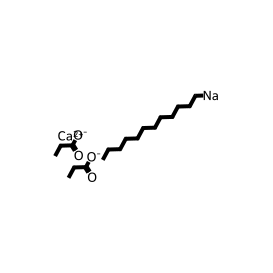 CCC(=O)[O-].CCC(=O)[O-].CCCCCCCCCCC[CH2][Na].[Ca+2]